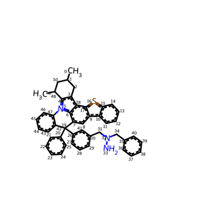 CC1Cc2c(n3c4c(cc5c6ccccc6sc5c24)C(c2ccccc2)(c2cccc(CN(N)Cc4ccccc4)c2)c2ccccc2-3)C(C)C1